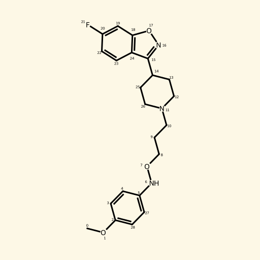 COc1ccc(NOCCCN2CCC(c3noc4cc(F)ccc34)CC2)cc1